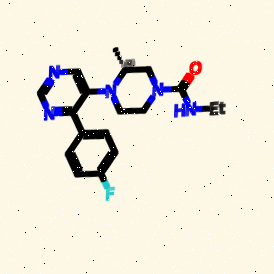 CCNC(=O)N1CCN(c2cncnc2-c2ccc(F)cc2)[C@H](C)C1